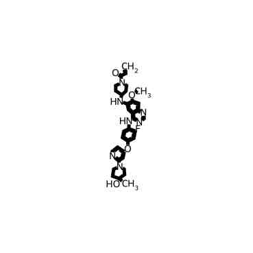 C=CC(=O)N1CCC(Nc2cc3c(Nc4ccc(Oc5ccnc(N6CCC(C)(O)CC6)c5)cc4F)ncnc3cc2OC)CC1